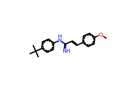 COc1ccc(/C=C/C(=N)Nc2ccc(C(C)(C)C)cc2)cc1